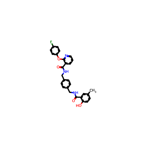 Cc1ccc(O)c(C(=O)NCc2ccc(CNC(=O)c3cccnc3Oc3ccc(F)cc3)cc2)c1